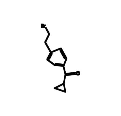 O=C(c1ccc(CCBr)cc1)C1CC1